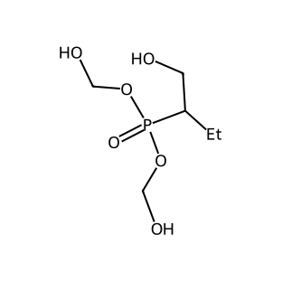 CCC(CO)P(=O)(OCO)OCO